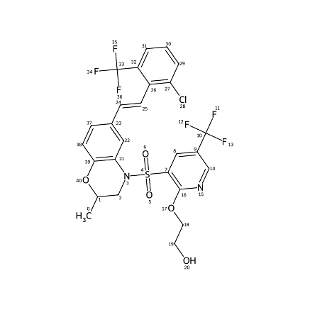 CC1CN(S(=O)(=O)c2cc(C(F)(F)F)cnc2OCCO)c2cc(C=Cc3c(Cl)cccc3C(F)(F)F)ccc2O1